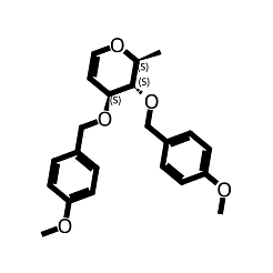 COc1ccc(CO[C@H]2[C@H](C)OC=C[C@@H]2OCc2ccc(OC)cc2)cc1